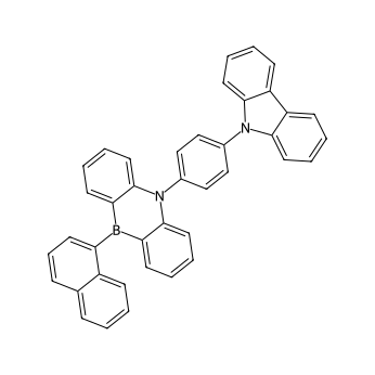 c1ccc2c(c1)B(c1cccc3ccccc13)c1ccccc1N2c1ccc(-n2c3ccccc3c3ccccc32)cc1